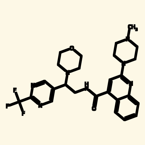 CN1CCN(c2cc(C(=O)NCC(c3cnc(C(F)(F)F)nc3)N3CCOCC3)c3ccccc3n2)CC1